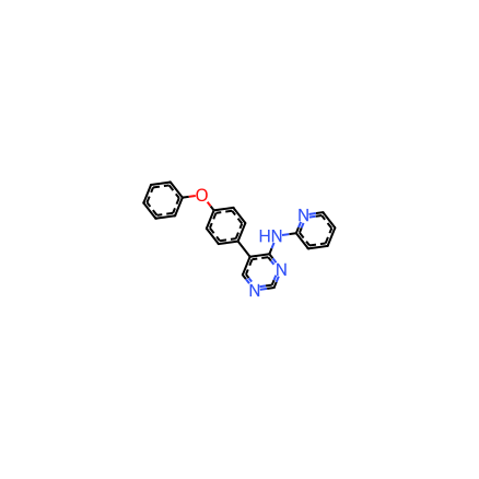 c1ccc(Oc2ccc(-c3cncnc3Nc3ccccn3)cc2)cc1